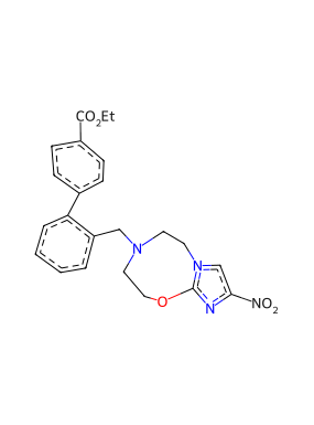 CCOC(=O)c1ccc(-c2ccccc2CN2CCOc3nc([N+](=O)[O-])cn3CC2)cc1